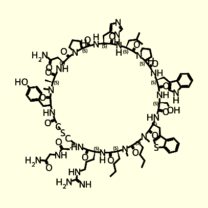 CCCC[C@H]1C(=O)N(C)[C@@H](CCCC)C(=O)N[C@@H](CCCNC(=N)N)C(=O)N[C@H](CC(=O)NCC(N)=O)CSCC(=O)NC(Cc2ccc(O)cc2)C(=O)N(C)[C@@H](C)C(=O)N[C@@H](CC(N)=O)C(=O)N2CCC[C@H]2C(=O)N[C@@H](Cc2cnc[nH]2)C(=O)N[C@@H](CC(C)C)C(=O)N2CCC[C@H]2C(=O)N[C@@H](Cc2c[nH]c3ccccc23)C(=O)N[C@@H](CO)C(=O)N[C@@H](Cc2csc3ccccc23)C(=O)N1C